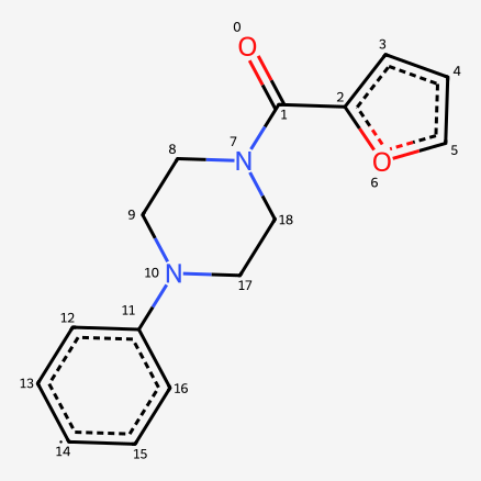 O=C(c1ccco1)N1CCN(c2cc[c]cc2)CC1